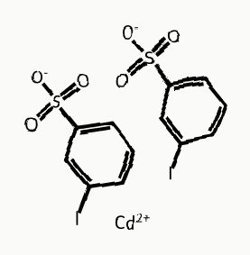 O=S(=O)([O-])c1cccc(I)c1.O=S(=O)([O-])c1cccc(I)c1.[Cd+2]